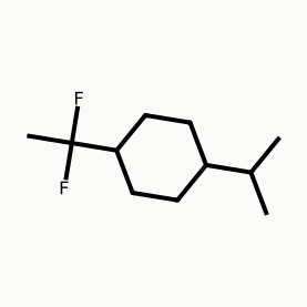 CC(C)C1CCC(C(C)(F)F)CC1